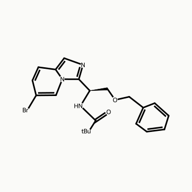 CC(C)(C)C(=O)N[C@H](COCc1ccccc1)c1ncc2ccc(Br)cn12